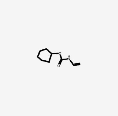 C=CNC(=O)OC1CCCCC1